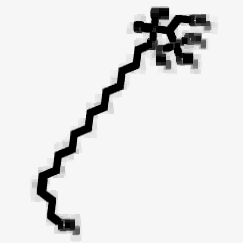 CCC/C=C\CCCCCCCCCCCCOP(=O)(O)C(CC)[N+](C)(C)C